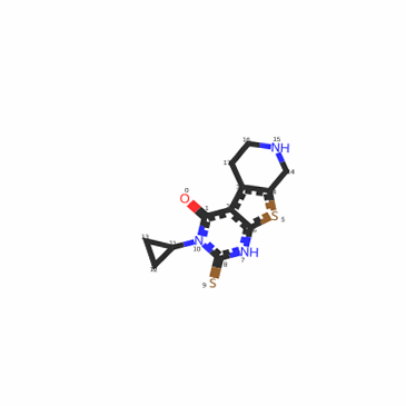 O=c1c2c3c(sc2[nH]c(=S)n1C1CC1)CNCC3